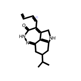 C=C/C=C\C1=C2CNC3=C2C(=NNC1=O)CC(C(C)C)C3